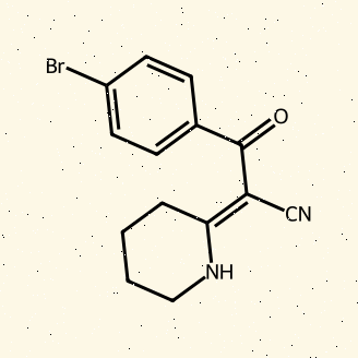 N#CC(C(=O)c1ccc(Br)cc1)=C1CCCCN1